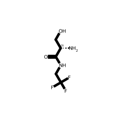 N[C@@H](CO)C(=O)NCC(F)(F)F